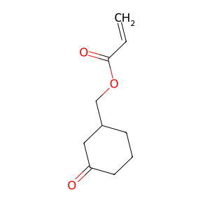 C=CC(=O)OCC1CCCC(=O)C1